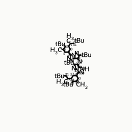 CC(CCC(CC(C)CC(C)(C)C)c1nnc2n1N=C(C(C)(C)C)/C2=N/c1c(C(C)(C)C)nn2c(C(CCC(C)CC(C)(C)C)CC(C)CC(C)(C)C)n[nH]c12)CC(C)(C)C